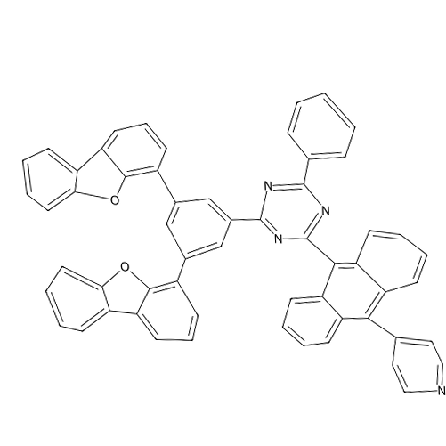 c1ccc(-c2nc(-c3cc(-c4cccc5c4oc4ccccc45)cc(-c4cccc5c4oc4ccccc45)c3)nc(-c3c4ccccc4c(-c4ccncc4)c4ccccc34)n2)cc1